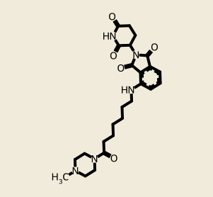 CN1CCN(C(=O)CCCCCCNc2cccc3c2C(=O)N(C2CCC(=O)NC2=O)C3=O)CC1